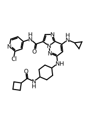 O=C(Nc1ccnc(Cl)c1)c1cnc2c(NC3CC3)cc(NC3CCC(NC(=O)C4CCC4)CC3)nn12